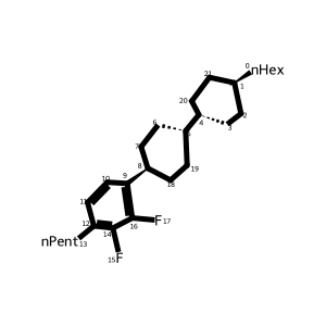 CCCCCC[C@H]1CC[C@H]([C@H]2CC[C@H](c3ccc(CCCCC)c(F)c3F)CC2)CC1